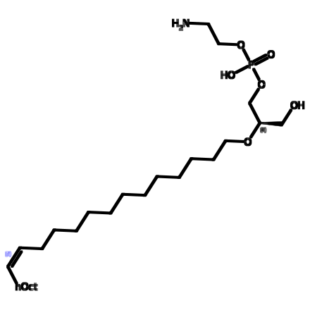 CCCCCCCC/C=C\CCCCCCCCCCCCO[C@H](CO)COP(=O)(O)OCCN